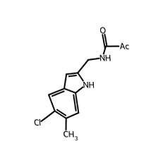 CC(=O)C(=O)NCc1cc2cc(Cl)c(C)cc2[nH]1